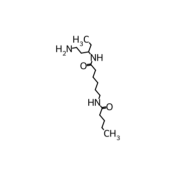 CCCCC(=O)NCCCCCC(=O)NC(CC)CCN